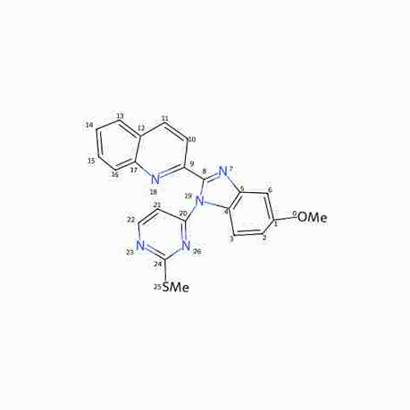 COc1ccc2c(c1)nc(-c1ccc3ccccc3n1)n2-c1ccnc(SC)n1